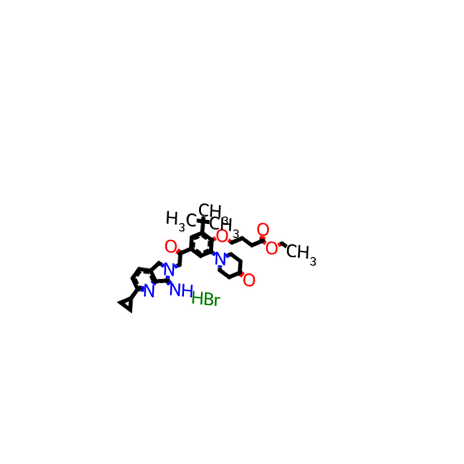 Br.CCOC(=O)CCCOc1c(N2CCC(=O)CC2)cc(C(=O)CN2Cc3ccc(C4CC4)nc3C2=N)cc1C(C)(C)C